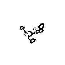 O=C(NC1CCN(C(=O)c2ccccc2)C(Cc2ccccc2)C1)c1nccc2ccccc12